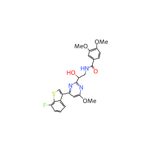 COc1cc(-c2csc3c(F)cccc23)nc(C(O)CNC(=O)c2ccc(OC)c(OC)c2)n1